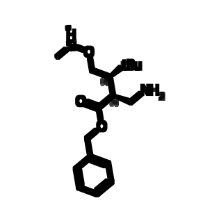 C[SiH](C)OC[C@H]([C@@H](CN)C(=O)OCc1ccccc1)C(C)(C)C